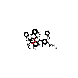 COc1ccc(C(OC(c2ccc(OC)c(OC3CCCC3)c2)c2c(Cl)cccc2Cl)c2c(Cl)cccc2Cl)cc1OC1CCCC1